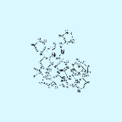 CS1(C)c2cccc(-c3cc4c(cc3-c3nc(-c5ccccc5)cc(-c5ccccc5)n3)C3(c5c-4ccc4ccccc54)C4CC5CC(C4)CC3C5)c2-c2c1ccc1ccccc21